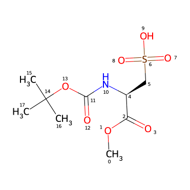 COC(=O)[C@H](CS(=O)(=O)O)NC(=O)OC(C)(C)C